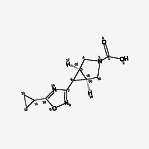 O=C(O)N1C[C@@H]2C(c3noc(C4CC4)n3)[C@@H]2C1